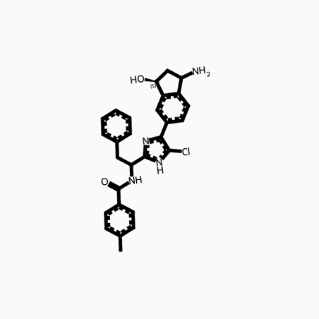 Cc1ccc(C(=O)NC(Cc2ccccc2)c2nc(-c3ccc4c(c3)[C@@H](O)CC4N)c(Cl)[nH]2)cc1